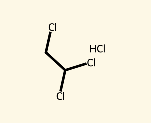 Cl.ClCC(Cl)Cl